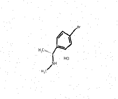 CN[C@H](C)c1ccc(Br)cc1.Cl